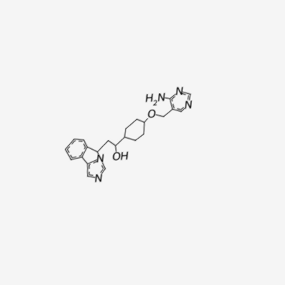 Nc1ncncc1COC1CCC(C(O)CC2c3ccccc3-c3cncn32)CC1